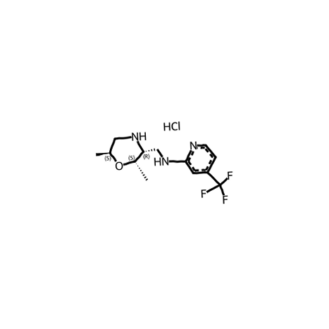 C[C@@H]1O[C@@H](C)CN[C@@H]1CNc1cc(C(F)(F)F)ccn1.Cl